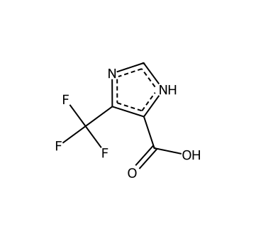 O=C(O)c1[nH]cnc1C(F)(F)F